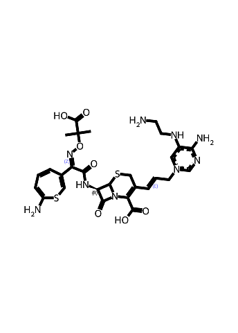 CC(C)(O/N=C(\C(=O)N[C@@H]1C(=O)N2C(C(=O)O)=C(/C=C/C[n+]3cnc(N)c(NCCN)c3)CSC12)C1=CSC(N)=CC=C1)C(=O)O